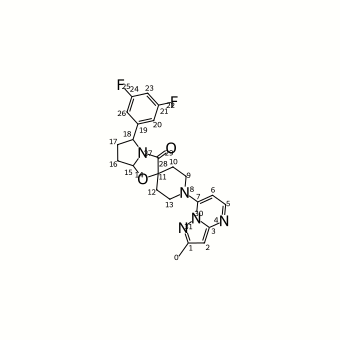 Cc1cc2nccc(N3CCC4(CC3)OC3CCC(c5cc(F)cc(F)c5)N3C4=O)n2n1